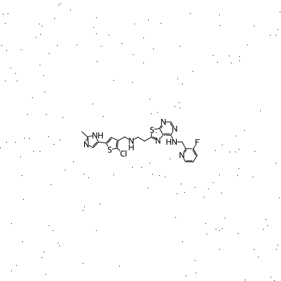 Cc1ncc(-c2cc(CNCCc3nc4c(NCc5ncccc5F)ncnc4s3)c(Cl)s2)[nH]1